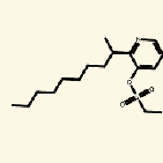 CCCCCCCCC(C)c1ncccc1OS(=O)(=O)CC